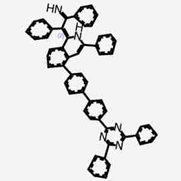 N=C(/C(=C1\NC(c2ccccc2)=Cc2c1cccc2-c1ccc(-c2ccc(-c3nc(-c4ccccc4)nc(-c4ccccc4)n3)cc2)cc1)c1ccccc1)c1ccccc1